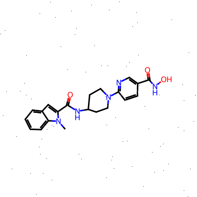 Cn1c(C(=O)NC2CCN(c3ccc(C(=O)NO)cn3)CC2)cc2ccccc21